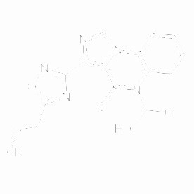 COCc1nc(-c2ncn3c2c(=O)n(C(C)C)c2ccccc23)no1